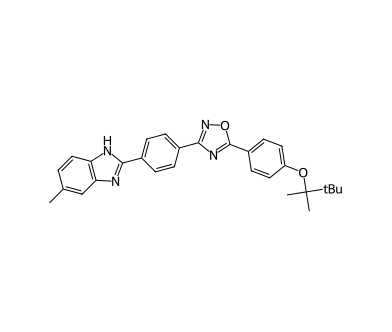 Cc1ccc2[nH]c(-c3ccc(-c4noc(-c5ccc(OC(C)(C)C(C)(C)C)cc5)n4)cc3)nc2c1